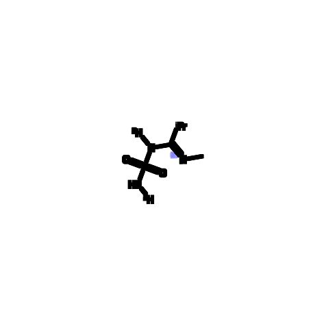 [2H]NS(=O)(=O)N([2H])/C(=N/C)C(C)C